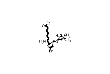 CCC(=O)CCCCC[C@H](N)c1nc(Br)cn1COCC[Si](C)(C)C